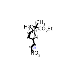 CCOC(=O)C(C)(C)n1ccc(/C=C/[N+](=O)[O-])n1